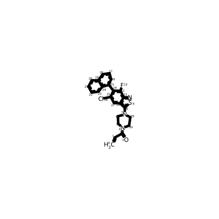 C=CC(=O)N1CCN(c2snc3c(F)c(-c4cccc5ccccc45)c(Cl)cc23)CC1